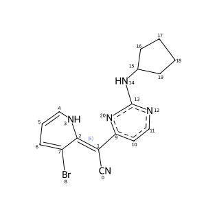 N#C/C(=C1/NC=CC=C1Br)c1ccnc(NC2CCCC2)n1